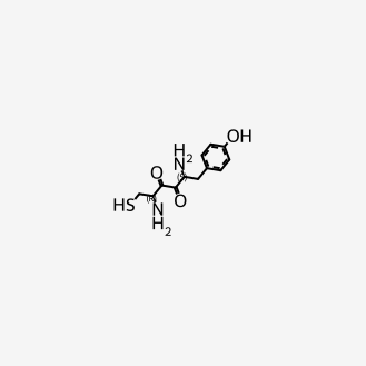 N[C@@H](CS)C(=O)C(=O)[C@@H](N)Cc1ccc(O)cc1